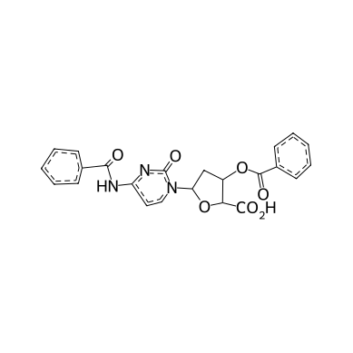 O=C(Nc1ccn(C2CC(OC(=O)c3ccccc3)C(C(=O)O)O2)c(=O)n1)c1ccccc1